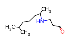 CC(C)CCCC(C)NCCC=O